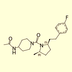 CC(=O)NC1CCN(C(=O)N2[C@@H](CCc3ccc(F)cc3)CC[C@H]2C)CC1